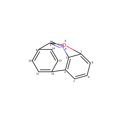 c1cc2c3nc(oc3c1)-c1ccc-2cc1